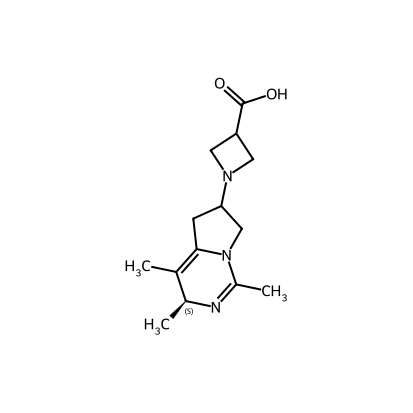 CC1=N[C@@H](C)C(C)=C2CC(N3CC(C(=O)O)C3)CN12